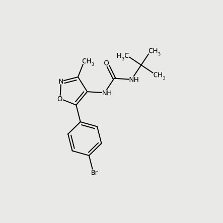 Cc1noc(-c2ccc(Br)cc2)c1NC(=O)NC(C)(C)C